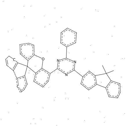 CC1(C)c2ccccc2-c2ccc(-c3nc(-c4ccccc4)nc(-c4cccc5c4Oc4ccccc4C54C5=C(C=CCC5)c5ccccc54)n3)cc21